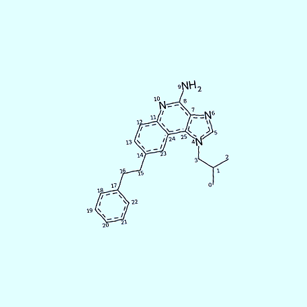 CC(C)Cn1cnc2c(N)nc3ccc(CCc4ccccc4)cc3c21